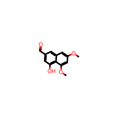 COc1cc(OC)c2c(O)cc(C=O)cc2c1